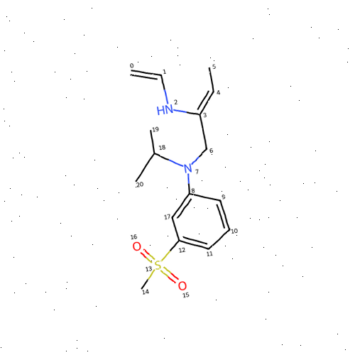 C=CN/C(=C\C)CN(c1cccc(S(C)(=O)=O)c1)C(C)C